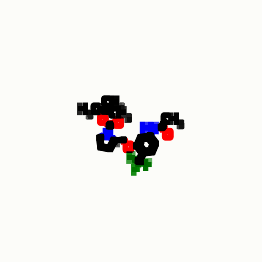 CC(=O)Nc1ccc(C(F)(F)F)c(OC[C@H]2CCCN2C(=O)OC(C)(C)C)c1